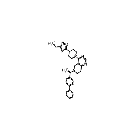 C=C(c1ccc(-c2ccccc2)cc1)N1CCc2ncnc(N3CCC(c4nc(CC)no4)CC3)c2C1